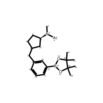 CC(=O)N(C)[C@@H]1CCC(Cc2cccc(B3OC(C)(C)C(C)(C)O3)c2)C1